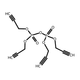 C#CCOP(=O)(OCC#C)OP(=O)(OCC#C)OCC#C